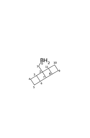 BCC12C3CCC3C1C1CCC12